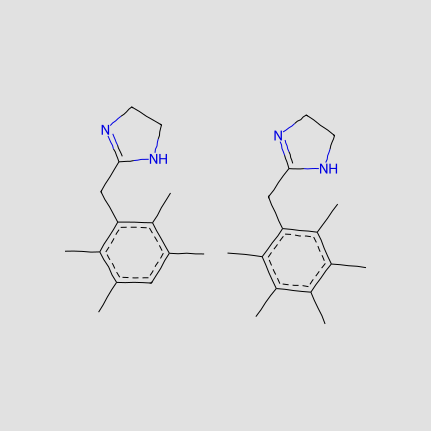 Cc1c(C)c(C)c(CC2=NCCN2)c(C)c1C.Cc1cc(C)c(C)c(CC2=NCCN2)c1C